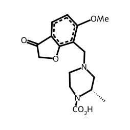 COc1ccc2c(c1CN1CCN(C(=O)O)[C@@H](C)C1)OCC2=O